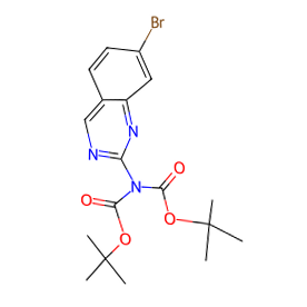 CC(C)(C)OC(=O)N(C(=O)OC(C)(C)C)c1ncc2ccc(Br)cc2n1